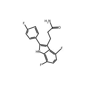 NC(=O)CCc1c(-c2ccc(F)cc2)[nH]c2c(F)ccc(F)c12